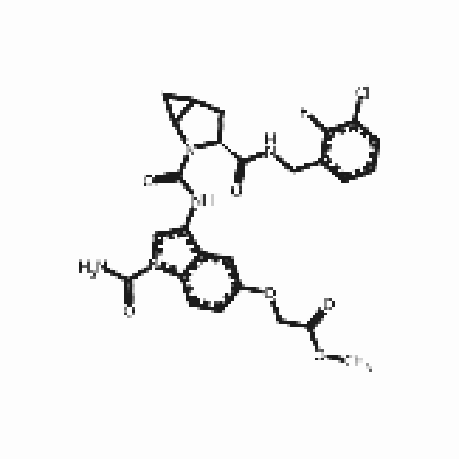 COC(=O)COc1ccc2c(c1)c(NC(=O)N1C3CC3C[C@H]1C(=O)NCc1cccc(Cl)c1F)cn2C(N)=O